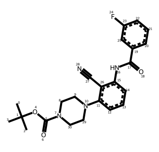 CC(C)(C)OC(=O)N1CCN(c2cccc(NC(=O)c3cccc(F)c3)c2C#N)CC1